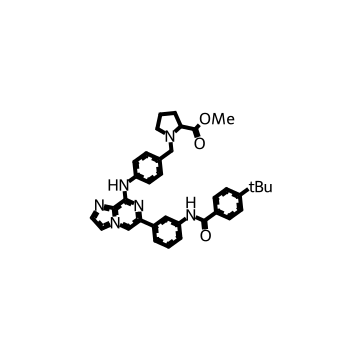 COC(=O)C1CCCN1Cc1ccc(Nc2nc(-c3cccc(NC(=O)c4ccc(C(C)(C)C)cc4)c3)cn3ccnc23)cc1